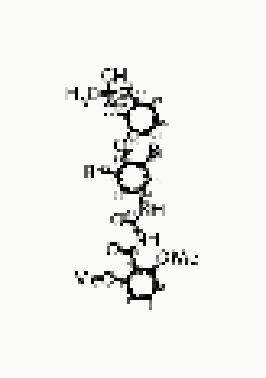 COc1cccc(OC)c1C(=O)NC(=O)Nc1cc(Br)c(Oc2cccc3c2OC(C)(C)C3)c(Br)c1